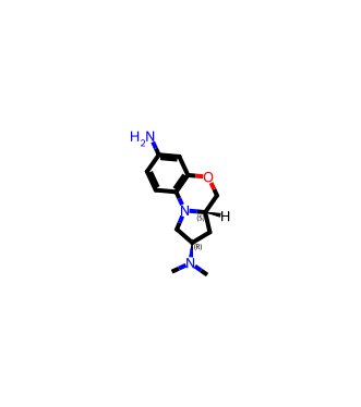 CN(C)[C@@H]1C[C@H]2COc3cc(N)ccc3N2C1